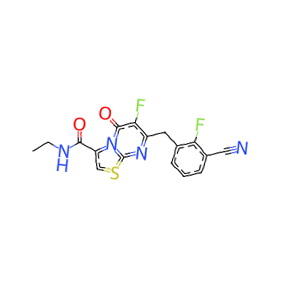 CCNC(=O)c1csc2nc(Cc3cccc(C#N)c3F)c(F)c(=O)n12